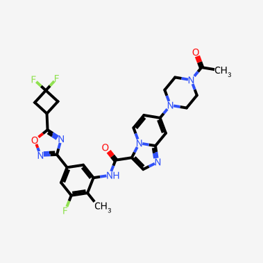 CC(=O)N1CCN(c2ccn3c(C(=O)Nc4cc(-c5noc(C6CC(F)(F)C6)n5)cc(F)c4C)cnc3c2)CC1